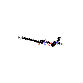 CCCCCCCCCCCCCCCC(=O)c1ccc(C(=O)NCCCC(=O)Oc2cccc3c2CCC(N(CCC)CCc2cccs2)C3)cc1